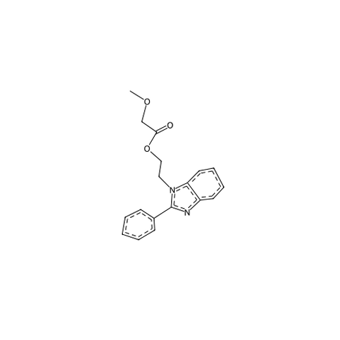 COCC(=O)OCCn1c(-c2ccccc2)nc2ccccc21